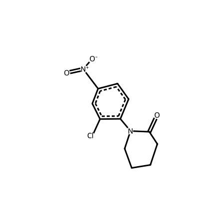 O=C1CCCCN1c1ccc([N+](=O)[O-])cc1Cl